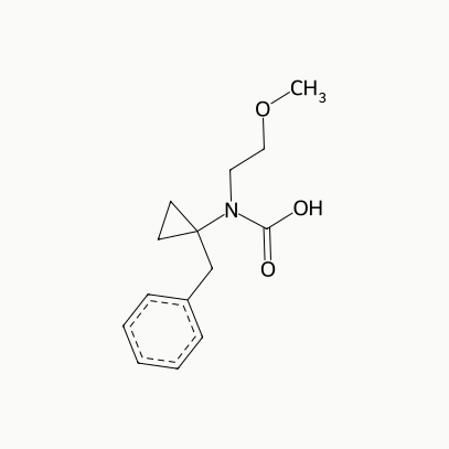 COCCN(C(=O)O)C1(Cc2ccccc2)CC1